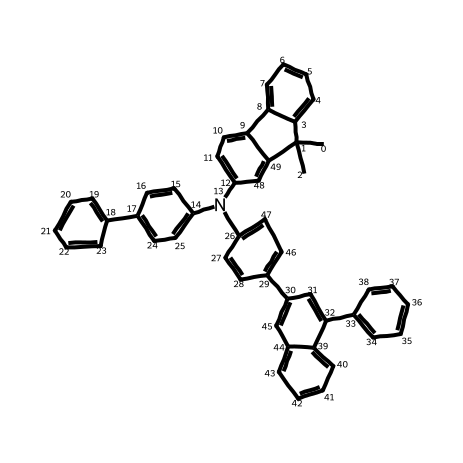 CC1(C)c2ccccc2-c2ccc(N(c3ccc(-c4ccccc4)cc3)c3ccc(-c4cc(-c5ccccc5)c5ccccc5c4)cc3)cc21